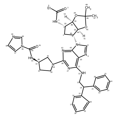 CCC(=O)N[C@H]1C[C@@H](n2cnc3c(NCC(c4ccccc4)c4ccccc4)nc(N4CC[C@@H](NC(=O)n5ccnc5)C4)nc32)[C@@H]2OC(C)(C)O[C@@H]21